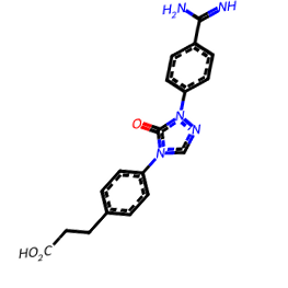 N=C(N)c1ccc(-n2ncn(-c3ccc(CCC(=O)O)cc3)c2=O)cc1